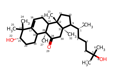 C[C@H](CCCC(C)(C)O)C1CC[C@@]2(C)C3CC=C4C(CC[C@H](O)C4(C)C)[C@]3(C)C(=O)C[C@]12C